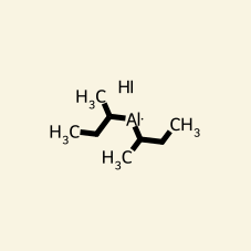 CC[CH](C)[Al][CH](C)CC.I